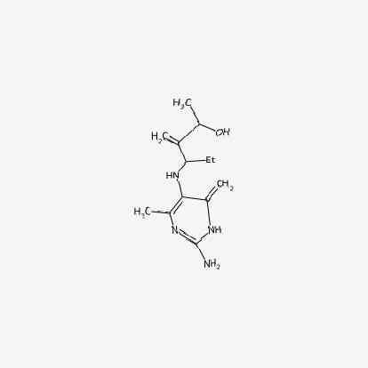 C=C1NC(N)=NC(C)=C1NC(CC)C(=C)C(C)O